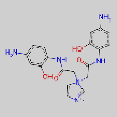 Nc1ccc(NC(=O)C[N+]2(CC(=O)Nc3ccc(N)cc3O)C=C[N+]=C2)c(O)c1